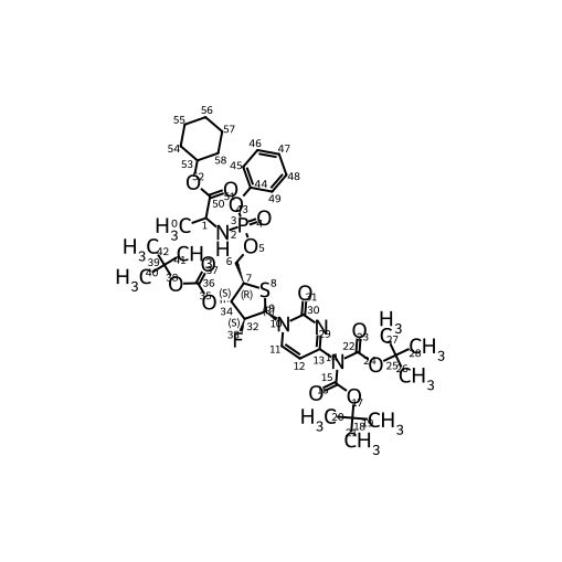 CC(NP(=O)(OC[C@H]1S[C@@H](n2ccc(N(C(=O)OC(C)(C)C)C(=O)OC(C)(C)C)nc2=O)[C@@H](F)[C@@H]1OC(=O)OC(C)(C)C)Oc1ccccc1)C(=O)OC1CCCCC1